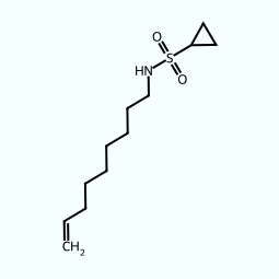 C=CCCCCCCCNS(=O)(=O)C1CC1